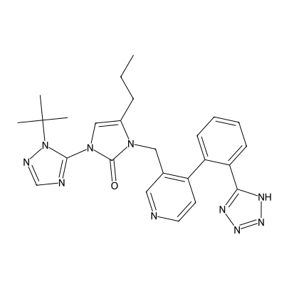 CCCc1cn(-c2ncnn2C(C)(C)C)c(=O)n1Cc1cnccc1-c1ccccc1-c1nnn[nH]1